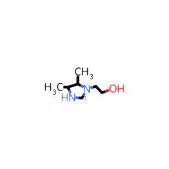 CC1N[C]N(CCO)C1C